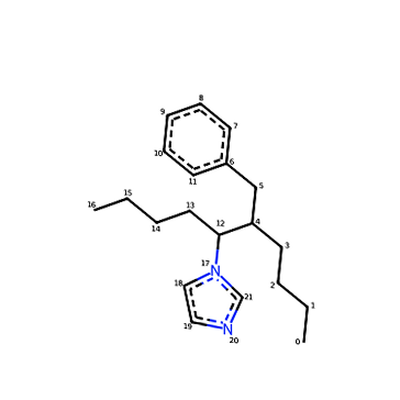 CCCCC(Cc1ccccc1)C(CCCC)n1ccnc1